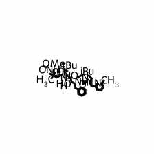 CCC(C)C(C(=O)NC(Cc1ccccc1)C(O)CN(CCC(C)(C)C)NC(=O)CC(C)(C)CNC(=O)OC)N1CCN(Cc2cccc(C)n2)C1=O